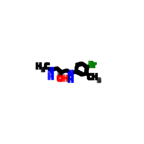 CNC[C@H](O)CNc1ccc(Br)c(C)c1